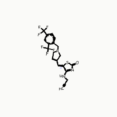 C#CCNC1=NC(=O)S/C1=C\C1CCN(Cc2ccc(C(F)(F)F)cc2C(F)(F)F)C1